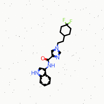 O=C(Nc1c[nH]c2ccccc12)c1cn(CCC2CCC(F)(F)CC2)cn1